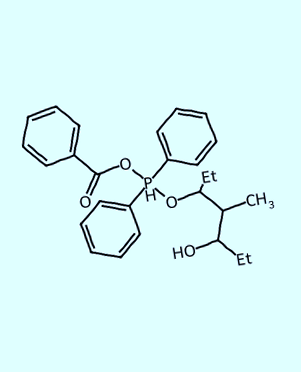 CCC(O)C(C)C(CC)O[PH](OC(=O)c1ccccc1)(c1ccccc1)c1ccccc1